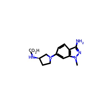 Cn1nc(N)c2ccc(N3CC[C@@H](NC(=O)O)C3)cc21